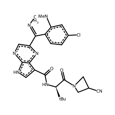 C/N=C(/c1cnc2[nH]cc(C(=O)N[C@@H](C(=O)N3CC(C#N)C3)C(C)(C)C)c2n1)c1ccc(Cl)cc1NC